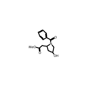 COC(=O)CC1CC(O)CN1C(=O)c1ccccc1